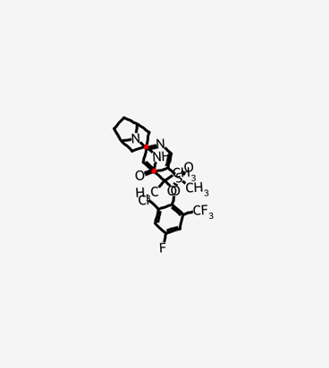 CC(C)(Oc1c(Cl)cc(F)cc1C(F)(F)F)C(=O)NC1CC2CCC(C1)N2c1ccc(S(C)(=O)=O)cn1